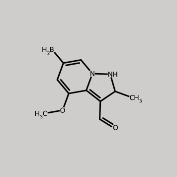 BC1=CN2NC(C)C(C=O)=C2C(OC)=C1